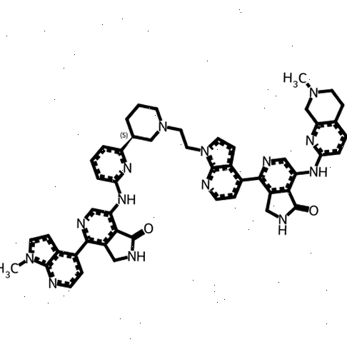 CN1CCc2ccc(Nc3cnc(-c4ccnc5c4ccn5CCN4CCC[C@H](c5cccc(Nc6cnc(-c7ccnc8c7ccn8C)c7c6C(=O)NC7)n5)C4)c4c3C(=O)NC4)nc2C1